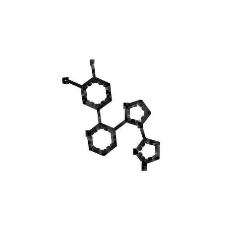 Fc1ccc(-c2ncccc2-c2nccn2-c2cc[nH]n2)cc1Cl